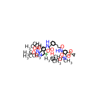 CN(Cc1cc(NC(=O)CCc2cccc(C(Nc3ccc4c(N(C(=O)OC(C)(C)C)C(=O)OC(C)(C)C)ncc(F)c4c3)C(=O)O)c2)ccc1S(=O)(=O)C1CC1)C(=O)OCC[Si](C)(C)C